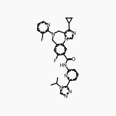 CC(C)n1cnnc1-c1cccc(NC(=O)c2cc3c(cc2F)CN(c2ncccc2F)Cc2c(C4CC4)ncn2-3)n1